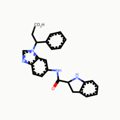 O=C(O)CC(c1ccccc1)n1cnc2ccc(NC(=O)C3Cc4ccccc4N3)cc21